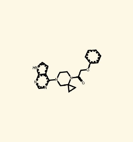 O=C(COc1ccccc1)N1CCN(c2ncnc3[nH]ccc23)CC12CC2